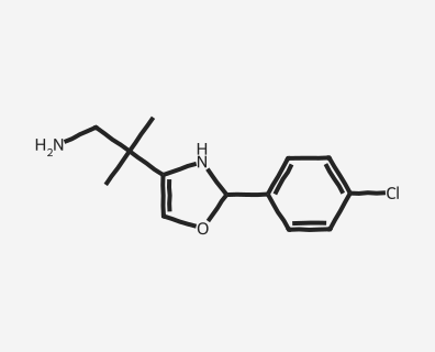 CC(C)(CN)C1=COC(c2ccc(Cl)cc2)N1